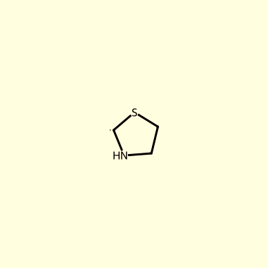 [CH]1NCCS1